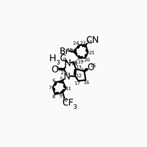 CN1C(=O)N(c2cccc(C(F)(F)F)c2)C2=C(C(=O)CC2)[C@H]1c1ccc(C#N)cc1Br